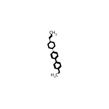 CC=C[C@H]1CC[C@H](c2ccc(-c3ccc(CC)cc3)cc2)CC1